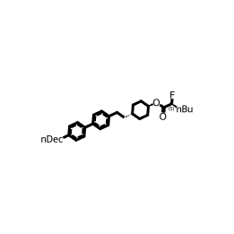 CCCCCCCCCCc1ccc(-c2ccc(CC[C@H]3CC[C@H](OC(=O)[C@@H](F)CCCC)CC3)cc2)cc1